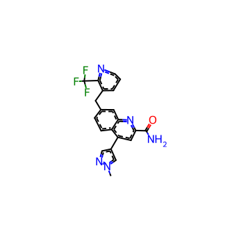 Cn1cc(-c2cc(C(N)=O)nc3cc(Cc4cccnc4C(F)(F)F)ccc23)cn1